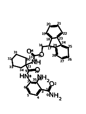 NC(=O)c1cccc(NC(=O)C2(NC(=O)OCC3c4ccccc4-c4ccccc43)CCCCC2)c1N